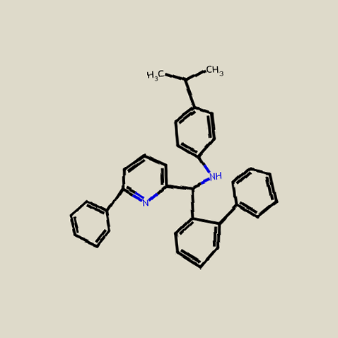 CC(C)c1ccc(NC(c2cccc(-c3ccccc3)n2)c2ccccc2-c2ccccc2)cc1